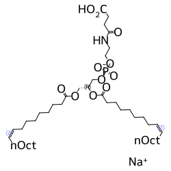 CCCCCCCC/C=C\CCCCCCCC(=O)OC[C@H](COP(=O)([O-])OCCNC(=O)CCC(=O)O)OC(=O)CCCCCCC/C=C\CCCCCCCC.[Na+]